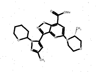 COC(=O)c1cc(N2CCOC[C@H]2C)nc2c(-c3cc(C)nn3C3CCCCO3)nsc12